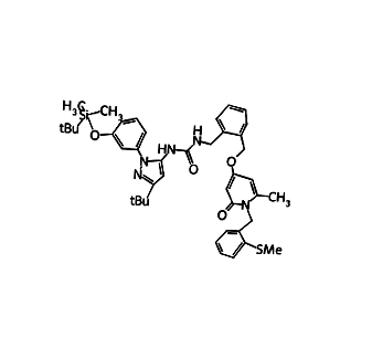 CSc1ccccc1Cn1c(C)cc(OCc2ccccc2CNC(=O)Nc2cc(C(C)(C)C)nn2-c2cccc(O[Si](C)(C)C(C)(C)C)c2)cc1=O